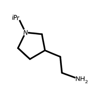 CC(C)N1CCC(CCN)C1